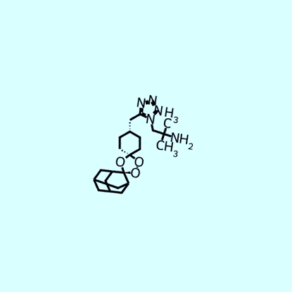 CC(C)(N)Cn1nnnc1C[C@H]1CC[C@]2(CC1)OO[C@]1(O2)C2CC3CC(C2)CC1C3